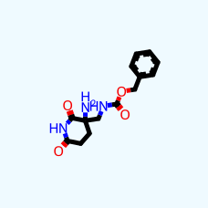 NC1(CNC(=O)OCc2ccccc2)CCC(=O)NC1=O